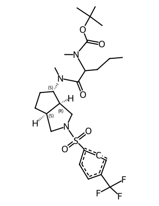 CCCC(C(=O)N(C)[C@H]1CC[C@@H]2CN(S(=O)(=O)c3ccc(C(F)(F)F)cc3)C[C@@H]21)N(C)C(=O)OC(C)(C)C